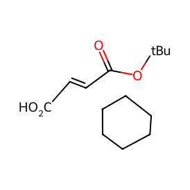 C1CCCCC1.CC(C)(C)OC(=O)C=CC(=O)O